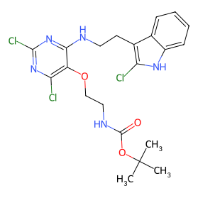 CC(C)(C)OC(=O)NCCOc1c(Cl)nc(Cl)nc1NCCc1c(Cl)[nH]c2ccccc12